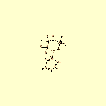 CC1(C)O[Si](C)(C)CC(c2ccccc2)C1(C)C